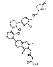 COc1nc(-c2cccc(-c3cccc(-c4ccn5c(=O)c(CNCC(=O)O)c(C)nc5c4)c3Cl)c2Cl)ccc1CNCC1CCC(=O)N1